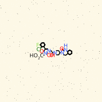 O=C(O)CN1C(=O)C(c2cccc(F)c2Cl)=CN(CC(=O)N2CCC(N3CCc4ccccc4NC3=O)CC2)C1O